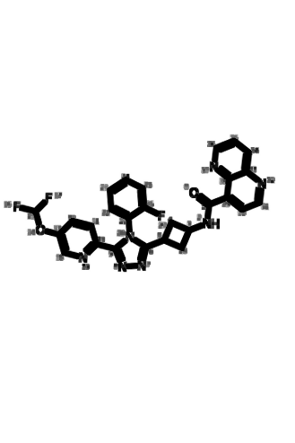 O=C(NC1CC(c2nnc(-c3ccc(OC(F)F)cn3)n2-c2ccccc2F)C1)c1ccnc2cccnc12